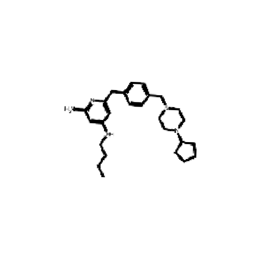 CCCCNc1cc(N)nc(Cc2ccc(CN3CCN(C4CCCC4)CC3)cc2)c1